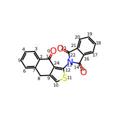 O=C1c2ccccc2Cc2csc(N3C(=O)c4ccccc4C3=O)c21